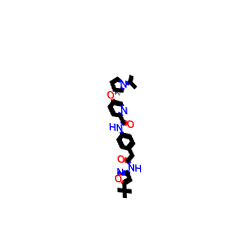 CC(C)N1CC[C@@H](Oc2ccc(C(=O)Nc3ccc(CC(=O)Nc4cc(C(C)(C)C)on4)cc3)nc2)C1